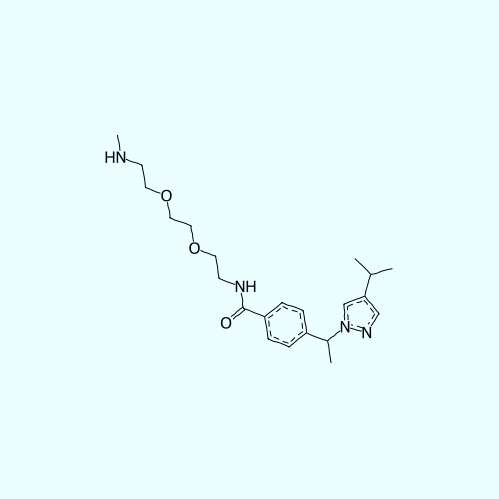 CNCCOCCOCCNC(=O)c1ccc(C(C)n2cc(C(C)C)cn2)cc1